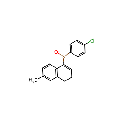 Cc1ccc2c(c1)CCC=C2[S+]([O-])c1ccc(Cl)cc1